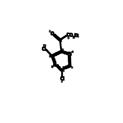 CCOC(=O)C(=O)c1ncc(Cl)nc1Cl